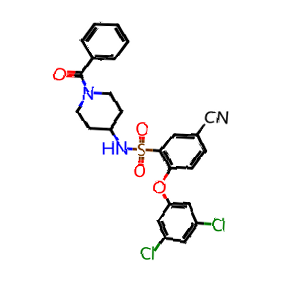 N#Cc1ccc(Oc2cc(Cl)cc(Cl)c2)c(S(=O)(=O)NC2CCN(C(=O)c3ccccc3)CC2)c1